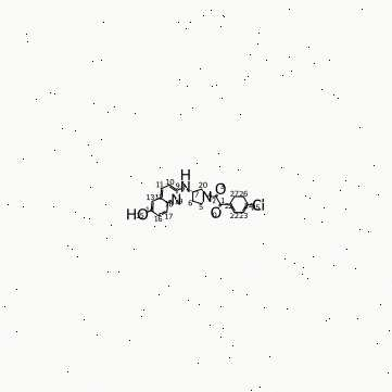 O=C(C(=O)N1CC[C@H](Nc2ccc3cc(O)ccc3n2)C1)C1=CC=C(Cl)CC1